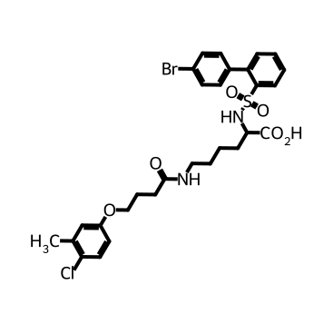 Cc1cc(OCCCC(=O)NCCCCC(NS(=O)(=O)c2ccccc2-c2ccc(Br)cc2)C(=O)O)ccc1Cl